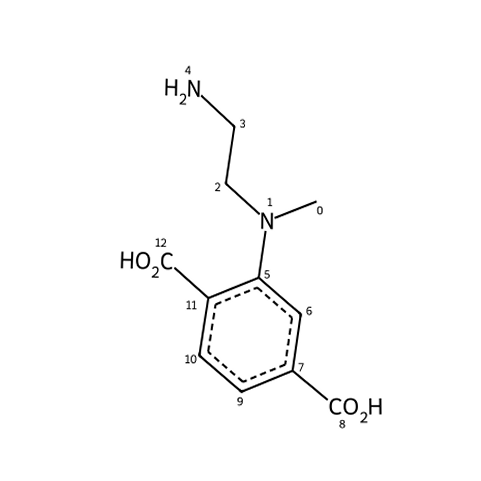 CN(CCN)c1cc(C(=O)O)ccc1C(=O)O